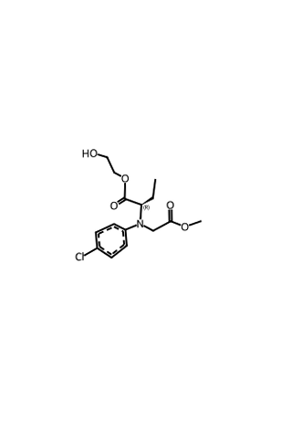 CC[C@H](C(=O)OCCO)N(CC(=O)OC)c1ccc(Cl)cc1